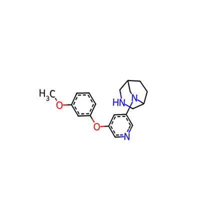 COc1cccc(Oc2cncc(N3CC4CCC3CNC4)c2)c1